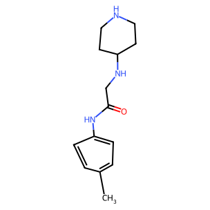 Cc1ccc(NC(=O)CNC2CCNCC2)cc1